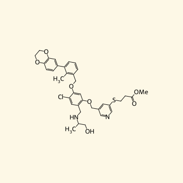 COC(=O)CCSc1cncc(COc2cc(OCc3cccc(-c4ccc5c(c4)OCCO5)c3C)c(Cl)cc2CNC(C)CO)c1